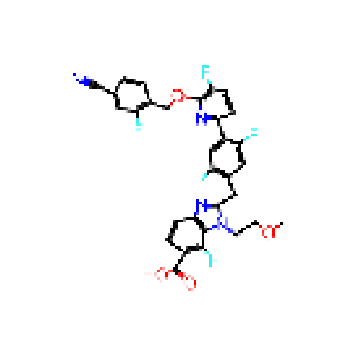 COCCn1c(Cc2cc(F)c(-c3ccc(F)c(OCc4ccc(C#N)cc4F)n3)cc2F)nc2ccc(C(=O)O)c(F)c21